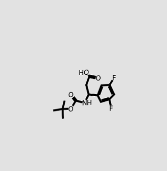 CC(C)(C)OC(=O)NC(CC(=O)O)c1cc(F)cc(F)c1